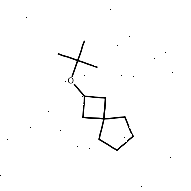 CC(C)(C)OC1CC2(CCCC2)C1